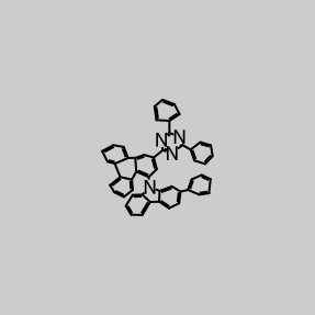 c1ccc(-c2ccc3c4ccccc4n(-c4cc(-c5nc(-c6ccccc6)nc(-c6ccccc6)n5)cc5c6ccccc6c6ccccc6c45)c3c2)cc1